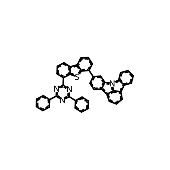 c1ccc(-c2nc(-c3ccccc3)nc(-c3cccc4c3sc3c(-c5ccc6c7cccc8c9ccccc9n(c6c5)c87)cccc34)n2)cc1